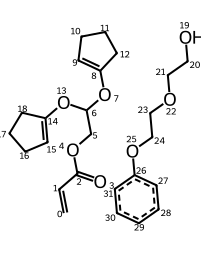 C=CC(=O)OCC(OC1=CCCC1)OC1=CCCC1.OCCOCCOc1ccccc1